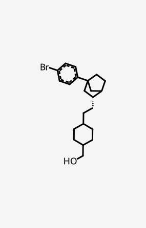 OCC1CCC(CC[C@@H]2CC3(c4ccc(Br)cc4)CCC2C3)CC1